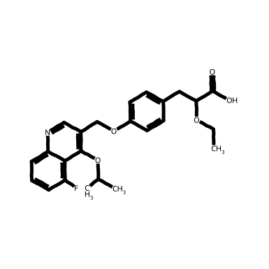 CCOC(Cc1ccc(OCc2cnc3cccc(F)c3c2OC(C)C)cc1)C(=O)O